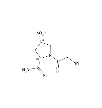 CC(C)CC(=O)N1C[C@@H](S(=O)(=O)O)C[C@H]1C(=N)N